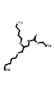 CCCCCCCCCCCCCCOCC(CNC(=O)OCNC)OCCCCCCCCCCCCCC